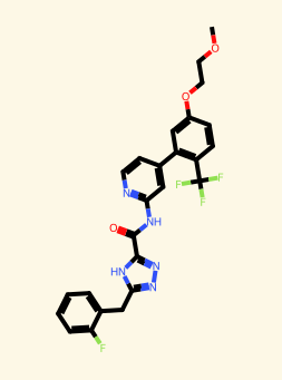 COCCOc1ccc(C(F)(F)F)c(-c2ccnc(NC(=O)c3nnc(Cc4ccccc4F)[nH]3)c2)c1